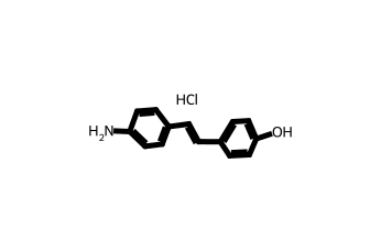 Cl.Nc1ccc(/C=C/c2ccc(O)cc2)cc1